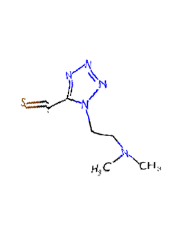 CN(C)CCn1nnnc1[C]=S